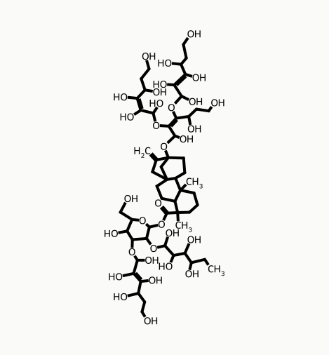 C=C1CC23CCC4C(C)(C(=O)OC5OC(CO)C(O)C(OC(O)/C(O)=C(\O)C(O)CCO)C5OC(O)C(O)C(O)C(O)CC)CCCC4(C)C2CCC1(OC(O)/C(OC(O)/C(O)=C(/O)C(O)CCO)=C(/OC(O)/C(O)=C(\O)C(O)CCO)C(O)CCO)C3